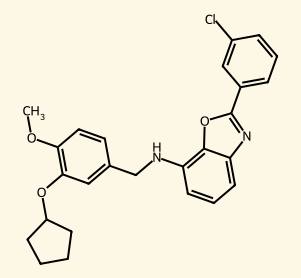 COc1ccc(CNc2cccc3nc(-c4cccc(Cl)c4)oc23)cc1OC1CCCC1